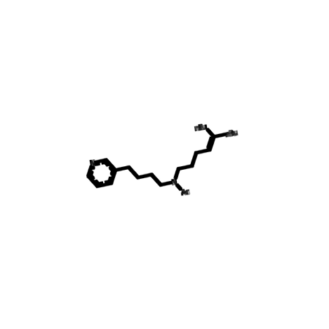 CCCCC(=CCCCN(CCCCc1cccnc1)C(C)=O)CCCC